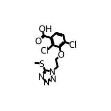 CSc1nnnn1CCOc1c(Cl)ccc(C(=O)O)c1Cl